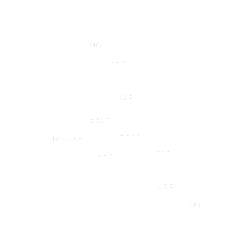 Cc1cc(C(Cc2ccc(O)cc2)c2ccc(O)c(C)c2)ccc1O